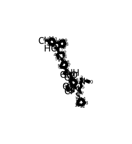 C#CN(C)CCC(CSc1ccccc1)Nc1ccc(S(=O)(=O)NC(=O)c2ccc(N3CCC(C(O)c4ccccc4-c4ccc(Cl)cc4)CC3)cc2)cc1S(=O)(=O)C(F)(F)F